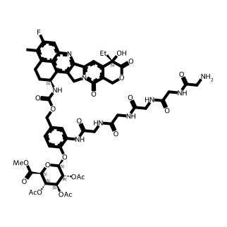 CC[C@@]1(O)C(=O)OCc2c1cc1n(c2=O)Cc2c-1nc1cc(F)c(C)c3c1c2[C@@H](NC(=O)OCc1ccc(O[C@@H]2O[C@H](C(=O)OC)[C@@H](OC(C)=O)[C@H](OC(C)=O)[C@H]2OC(C)=O)c(NC(=O)CNC(=O)CNC(=O)CNC(=O)CNC(=O)CN)c1)CC3